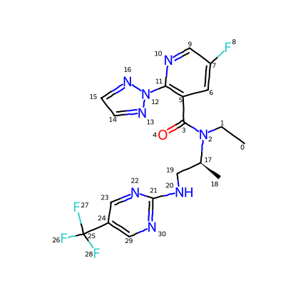 CCN(C(=O)c1cc(F)cnc1-n1nccn1)[C@@H](C)CNc1ncc(C(F)(F)F)cn1